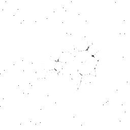 CC(C)(C)C(=O)C1CC1CC(C)(C)C(=O)C1CC(CC(C)(C)C(=O)C2CCCC2)C1